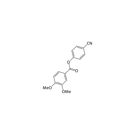 COc1ccc(C(=O)Oc2ccc(C#N)cc2)cc1OC